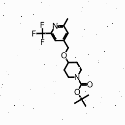 Cc1cc(COC2CCN(C(=O)OC(C)(C)C)CC2)cc(C(F)(F)F)n1